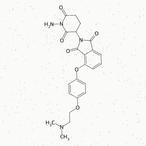 CN(C)CCOc1ccc(Oc2cccc3c2C(=O)N(C2CCC(=O)N(N)C2=O)C3=O)cc1